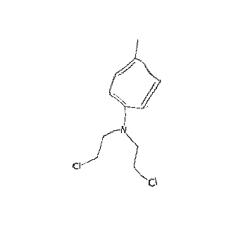 Cc1c[c]c(N(CCCl)CCCl)cc1